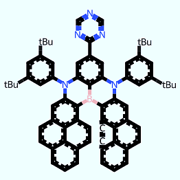 CC(C)(C)c1cc(N2c3cc(-c4ncncn4)cc4c3B(c3c2cc2ccc5cccc6ccc3c2c56)c2c(cc3ccc5cccc6ccc2c3c56)N4c2cc(C(C)(C)C)cc(C(C)(C)C)c2)cc(C(C)(C)C)c1